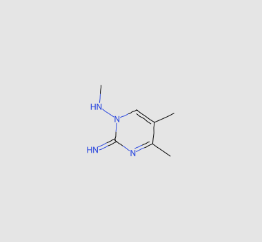 CNn1cc(C)c(C)nc1=N